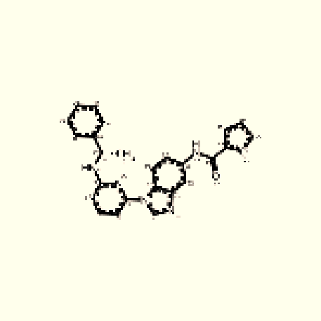 C[C@H](Nc1nccc(-n2cnc3cc(NC(=O)c4ccco4)ccc32)n1)c1ccccc1